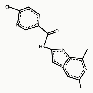 Cc1cn2cc(NC(=O)c3ccc(Cl)nc3)nc2c(C)n1